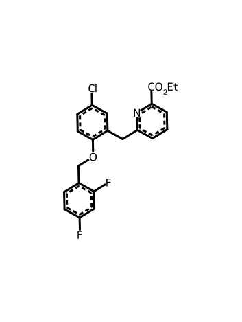 CCOC(=O)c1cccc(Cc2cc(Cl)ccc2OCc2ccc(F)cc2F)n1